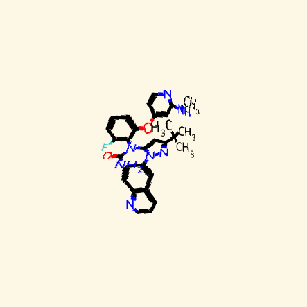 CNc1cc(Oc2cccc(F)c2N(C(N)=O)c2cc(C(C)(C)C)nn2-c2ccc3ncccc3c2)ccn1